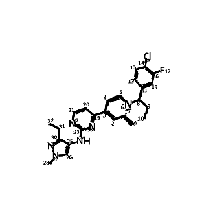 C=C/C=C(\C=C/N(C)C(CC)c1ccc(Cl)c(F)c1)c1ccnc(Nc2cn(C)nc2CC)n1